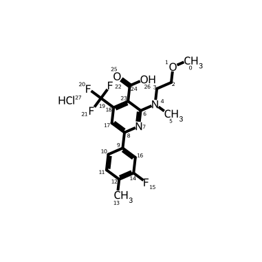 COCCN(C)c1nc(-c2ccc(C)c(F)c2)cc(C(F)(F)F)c1C(=O)O.Cl